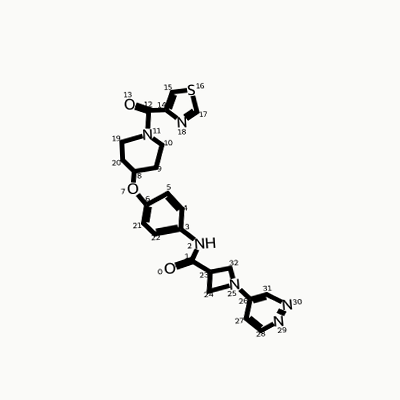 O=C(Nc1ccc(OC2CCN(C(=O)c3cscn3)CC2)cc1)C1CN(c2ccnnc2)C1